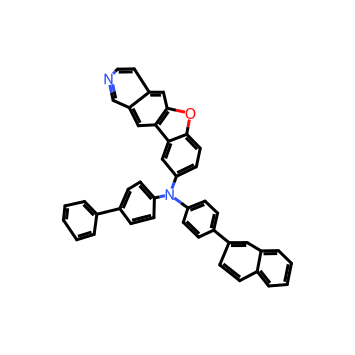 c1ccc(-c2ccc(N(c3ccc(-c4ccc5ccccc5c4)cc3)c3ccc4oc5cc6ccncc6cc5c4c3)cc2)cc1